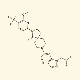 COc1nc(N2CCC3(CCN(c4cnc5cnn(CC(F)F)c5n4)CC3)C2=O)ccc1C(F)(F)F